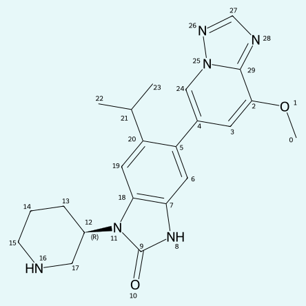 COc1cc(-c2cc3[nH]c(=O)n([C@@H]4CCCNC4)c3cc2C(C)C)cn2ncnc12